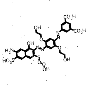 Nc1cc2c(O)c(N=Nc3cc(OCCO)c(N=Nc4cc(C(=O)O)cc(C(=O)O)c4)cc3OCCO)c(SOOO)cc2cc1S(=O)(=O)O